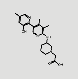 Cc1cnc(-c2nnc(NC3CCCN(CC(=O)O)C3)c(C)c2C)c(O)c1